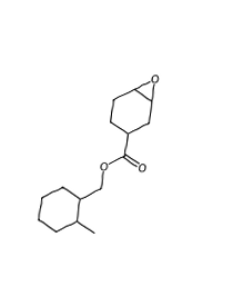 CC1CCCCC1COC(=O)C1CCC2OC2C1